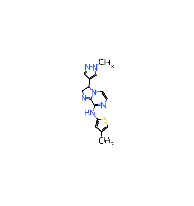 Cc1csc(NC2=NC=CN3C2=NCC3c2cnn(C)c2)c1